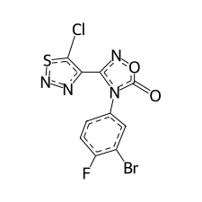 O=c1onc(-c2nnsc2Cl)n1-c1ccc(F)c(Br)c1